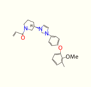 C=CC(=O)N1CCC[C@@H](N2C=CN(c3ccc(Oc4cccc(C)c4OC)cc3)C2)C1